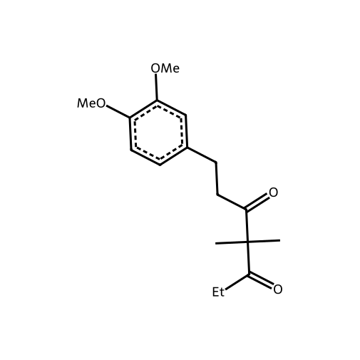 CCC(=O)C(C)(C)C(=O)CCc1ccc(OC)c(OC)c1